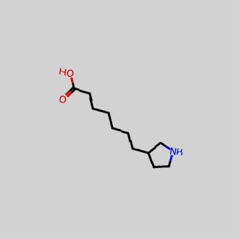 O=C(O)CCCCCCC1CCNC1